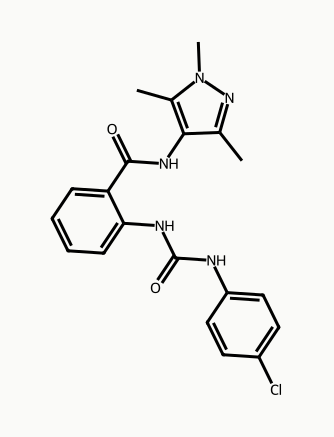 Cc1nn(C)c(C)c1NC(=O)c1ccccc1NC(=O)Nc1ccc(Cl)cc1